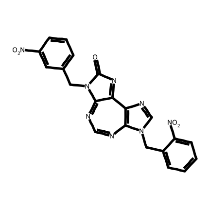 O=c1nc2c3ncn(Cc4ccccc4[N+](=O)[O-])c3ncnc-2n1Cc1cccc([N+](=O)[O-])c1